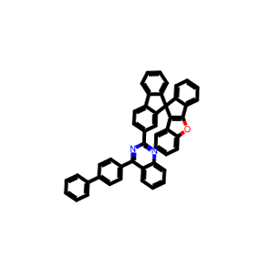 c1ccc(-c2ccc(-c3nc(-c4ccc5c(c4)C4(c6ccccc6-5)c5ccccc5-c5oc6ccccc6c54)nc4ccccc34)cc2)cc1